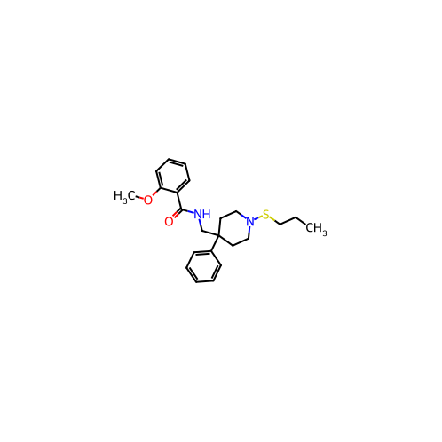 CCCSN1CCC(CNC(=O)c2ccccc2OC)(c2ccccc2)CC1